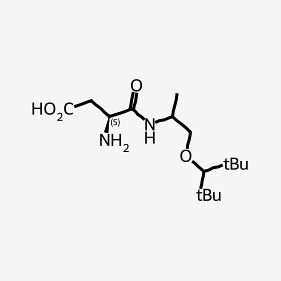 CC(COC(C(C)(C)C)C(C)(C)C)NC(=O)[C@@H](N)CC(=O)O